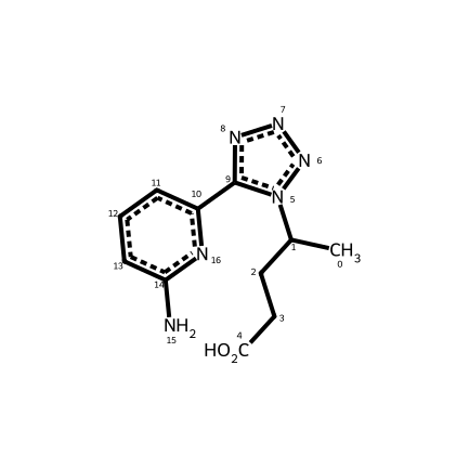 CC(CCC(=O)O)n1nnnc1-c1cccc(N)n1